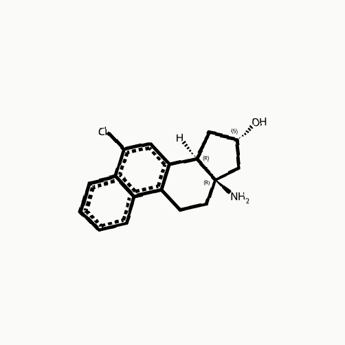 N[C@@]12CCc3c(cc(Cl)c4ccccc34)[C@H]1C[C@H](O)C2